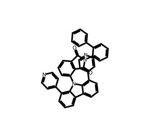 O=C1c2cccc(-n3c4c(-c5ccncc5)cccc4c4cccc(-c5ccncc5)c43)c2C(=O)N1c1ccccc1-c1ccccc1